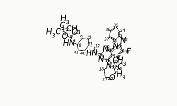 CC(C)(C)OC(=O)N[C@H]1CC[C@H](CNc2nc(N3CCOCC3(C)C)cc(-n3c(C(F)F)nc4ccccc43)n2)CC1